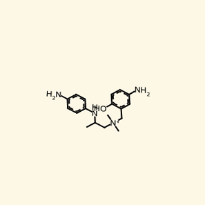 CC(C[N+](C)(C)Cc1cc(N)ccc1O)Nc1ccc(N)cc1